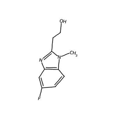 Cn1c(CCO)nc2cc(F)ccc21